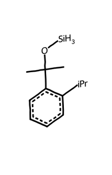 CC(C)c1ccccc1C(C)(C)O[SiH3]